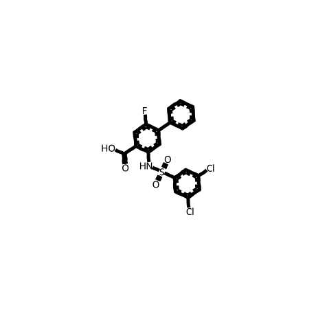 O=C(O)c1cc(F)c(-c2ccccc2)cc1NS(=O)(=O)c1cc(Cl)cc(Cl)c1